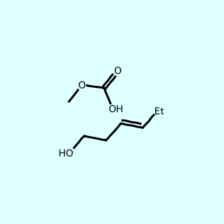 CCC=CCCO.COC(=O)O